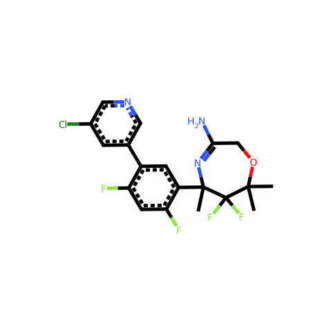 CC1(C)OCC(N)=NC(C)(c2cc(-c3cncc(Cl)c3)c(F)cc2F)C1(F)F